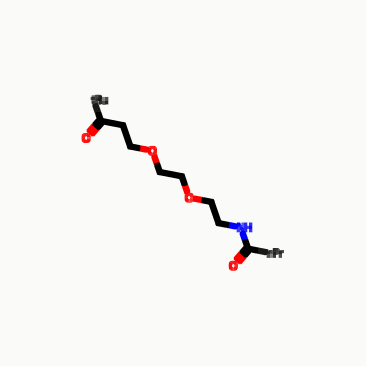 CCCC(=O)NCCOCCOCCC(=O)C(C)(C)C